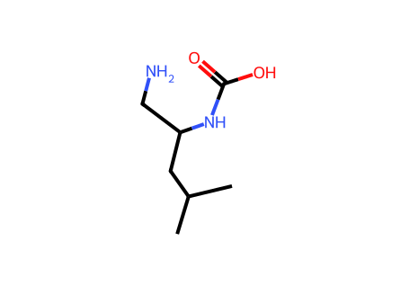 CC(C)CC(CN)NC(=O)O